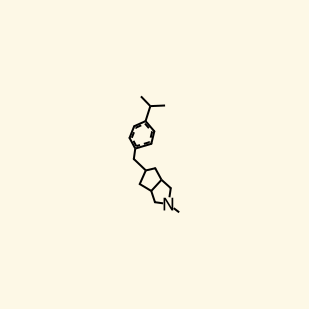 CC(C)c1ccc(CC2CC3CN(C)CC3C2)cc1